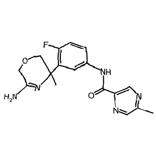 Cc1cnc(C(=O)Nc2ccc(F)c(C3(C)COCC(N)=N3)c2)cn1